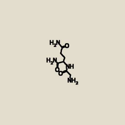 NCC(=O)NC(CCC(N)=O)C(N)=O